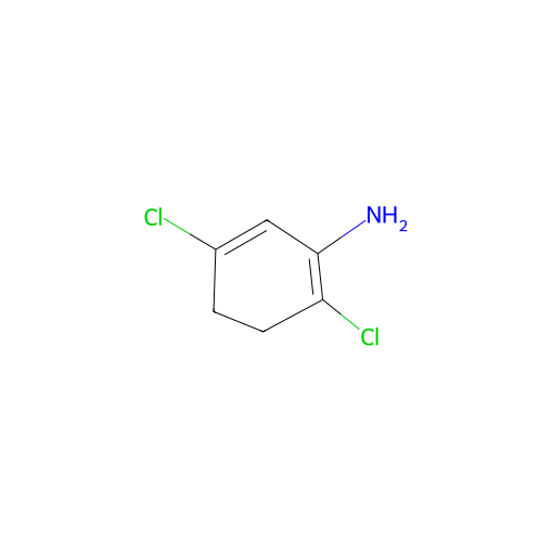 NC1=C(Cl)CCC(Cl)=C1